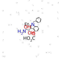 CCc1c(C(O)C(N)O)c2c(OCC(=O)O)cccc2n1Cc1ccccc1